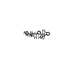 Cc1ccccc1C(CO)NC(=O)c1cccc(NCc2nnc(-c3ccncn3)n2C)c1